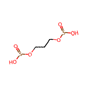 O=S(O)OCCCOS(=O)O